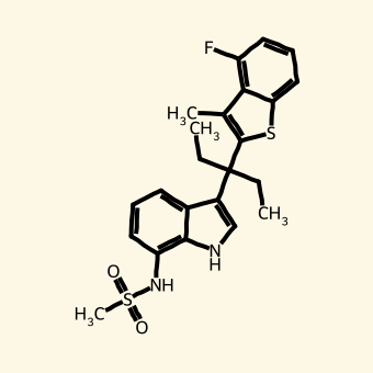 CCC(CC)(c1sc2cccc(F)c2c1C)c1c[nH]c2c(NS(C)(=O)=O)cccc12